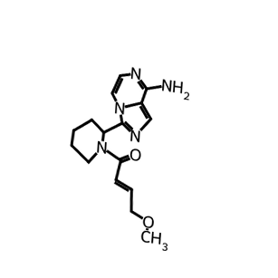 COCC=CC(=O)N1CCCCC1c1ncc2c(N)nccn12